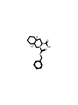 O=C(O)[C@@H]1C[C@@H]2CCCC[C@@H]2CN1C(=O)OCc1ccccc1